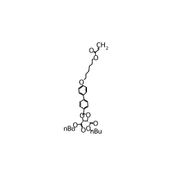 C=CC(=O)OCCCCCCOc1ccc(-c2ccc(C3O[C@H](C(=O)OCCCC)[C@@H](C(=O)OCCCC)O3)cc2)cc1